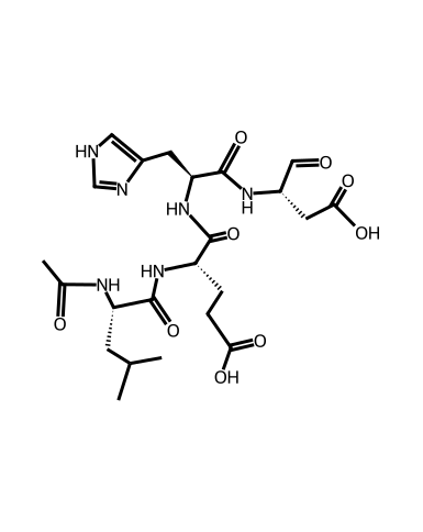 CC(=O)N[C@@H](CC(C)C)C(=O)N[C@@H](CCC(=O)O)C(=O)N[C@@H](Cc1c[nH]cn1)C(=O)N[C@H](C=O)CC(=O)O